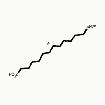 CCCCCCCCCCCCCCCCCCCCCC(=O)O.[V]